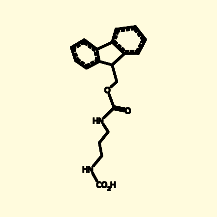 O=C(O)NCCCNC(=O)OCC1c2ccccc2-c2ccccc21